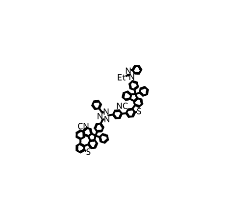 CCc1nc2ccccc2n1-c1ccc(C2(c3ccccc3)c3ccccc3-c3c2ccc2sc4ccc(-c5ccc(-c6nc(-c7ccccc7)nc(-c7ccc(C8(c9ccccc9)c9ccccc9-c9c8ccc8sc%10cccc(-c%11ccc(C#N)cc%11)c%10c98)cc7)n6)cc5)c(C#N)c4c32)cc1